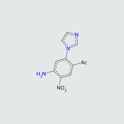 CC(=O)c1cc([N+](=O)[O-])c(N)cc1-n1ccnc1